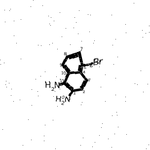 Nc1ccc2c(Br)cccc2c1N